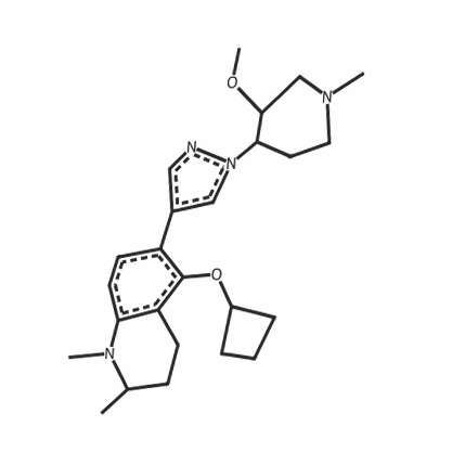 COC1CN(C)CCC1n1cc(-c2ccc3c(c2OC2CCC2)CCC(C)N3C)cn1